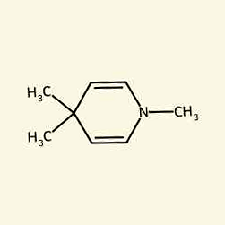 CN1C=CC(C)(C)C=C1